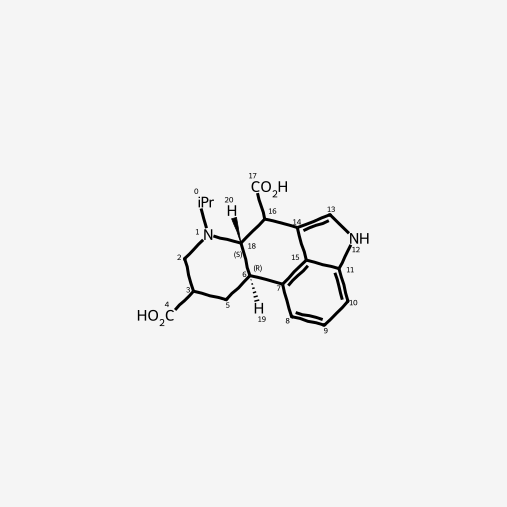 CC(C)N1CC(C(=O)O)C[C@@H]2c3cccc4[nH]cc(c34)C(C(=O)O)[C@H]21